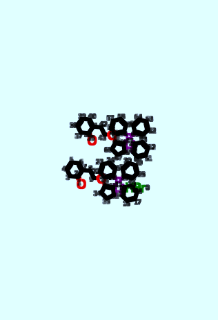 Br.O=C1CC=CC=C1CCOC1=C([PH](c2ccccc2)(c2ccccc2)c2ccccc2)CCC1.O=C1CC=CC=C1CCOC1=C([PH](c2ccccc2)(c2ccccc2)c2ccccc2)CCC1